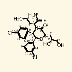 CCC[C@@H](C(N)=O)N1C(=O)[C@H](C[C@H](O)CO)O[C@@H](c2cccc(Cl)c2)[C@H]1c1ccc(Cl)cc1